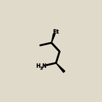 CC[C@H](C)C[C@@H](C)N